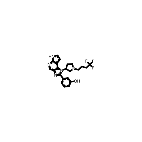 Oc1cccc(-c2nc3cnc4[nH]ccc4c3n2C2CCN(CCCC(F)(F)F)C2)c1